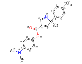 CCC1(c2ccc(C(F)(F)F)cc2)C=C(C(=O)Oc2ccc(N(C(C)=O)C(C)=O)cc2)C=N1